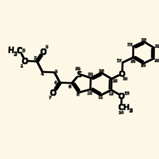 COC(=O)CCC(=O)c1cc2cc(OC)c(OCc3ccccc3)cc2s1